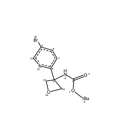 CC(C)(C)OC(=O)NC1(c2ccc(Br)cn2)COC1